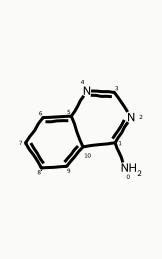 Nc1ncnc2cc[c]cc12